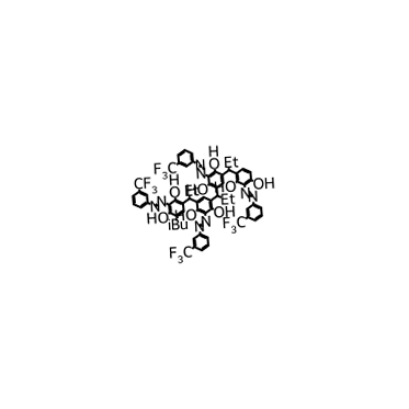 CCC(C)c1cc(C(CC)c2cc(C(CC)c3cc(C(CC)c4ccc(O)c(N=Nc5cccc(C(F)(F)F)c5)c4O)c(O)c(N=Nc4cccc(C(F)(F)F)c4)c3O)c(O)c(N=Nc3cccc(C(F)(F)F)c3)c2O)c(O)c(N=Nc2cccc(C(F)(F)F)c2)c1O